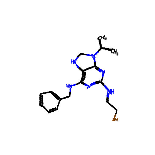 CC(C)N1CNc2c(NCc3ccccc3)nc(NCCS)nc21